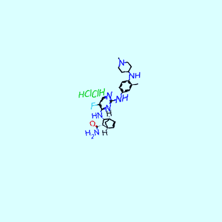 Cc1cc(Nc2ncc(F)c(N[C@H]3[C@@H](C(N)=O)[C@@H]4C=C[C@H]3C4)n2)ccc1NC1CCN(C)CC1.Cl.Cl